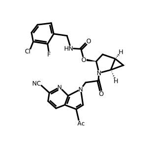 CC(=O)c1cn(CC(=O)N2[C@@H](OC(=O)NCc3cccc(Cl)c3F)C[C@H]3C[C@H]32)c2nc(C#N)ccc12